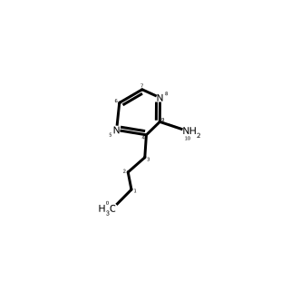 CCCCc1nccnc1N